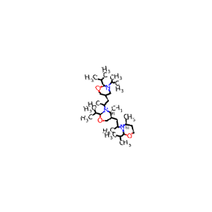 CC(C)C1OCC(CC(C)N2C(C(C)C)OCC(CC(C)N3C(C(C)C)OCC[C@@H]3C)[C@H]2C)CN1C(C)C